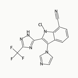 N#Cc1cccc2c(-n3ccnc3)c(-c3nc(C(F)(F)F)n[nH]3)n(Cl)c12